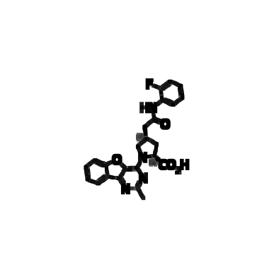 Cc1nc(N2C[C@@H](CC(=O)Nc3ccccc3F)C[C@H]2C(=O)O)c2oc3ccccc3c2n1